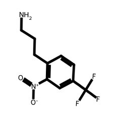 NCCCc1ccc(C(F)(F)F)cc1[N+](=O)[O-]